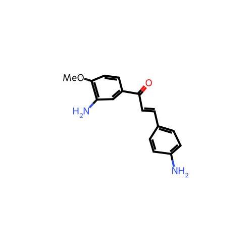 COc1ccc(C(=O)/C=C/c2ccc(N)cc2)cc1N